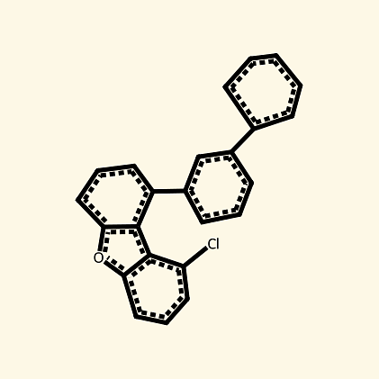 Clc1cccc2oc3cccc(-c4cccc(-c5ccccc5)c4)c3c12